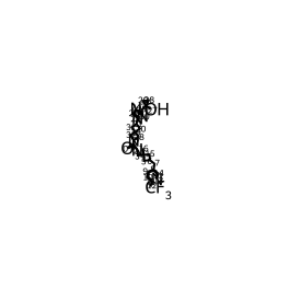 O=C(N1CC2(CC(Cc3ccc(C(F)(F)F)nc3)C2)C1)N1CC2(CC(n3cnc(C4(O)CC4)n3)C2)C1